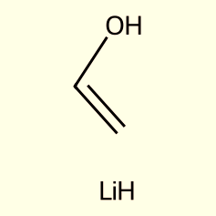 C=CO.[LiH]